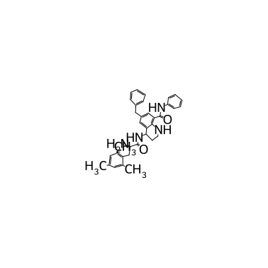 Cc1cc(C)c(CC(N)C(=O)NC2CCNc3c(C(=O)Nc4ccccc4)cc(Cc4ccccc4)cc32)c(C)c1